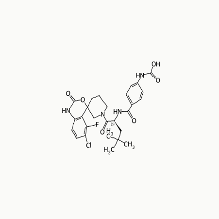 CC(C)(C)C[C@H](NC(=O)c1ccc(NC(=O)O)cc1)C(=O)N1CCCC2(C1)OC(=O)Nc1ccc(Cl)c(F)c12